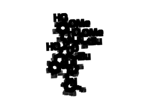 CCC(C)C(C(=O)NC(Cc1ccccc1)C(O)CN(Cc1ccc(O)c(OC)c1)NC(=O)N(CC(C)(C)C)C(=O)OC)N1CCN(Cc2cccc(C)n2)C1=O